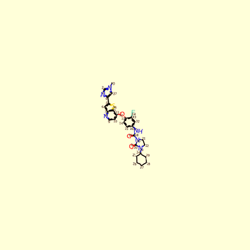 Cn1cnc(-c2cc3nccc(Oc4ccc(NC(=O)N5CCN(C6CCCCC6)C5=O)cc4F)c3s2)c1